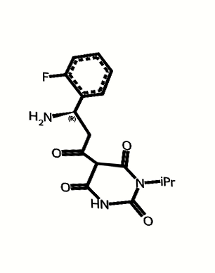 CC(C)N1C(=O)NC(=O)C(C(=O)C[C@@H](N)c2ccccc2F)C1=O